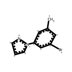 Cc1cc(Br)cc(-n2cccn2)c1